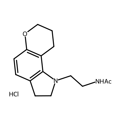 CC(=O)NCCN1CCc2ccc3c(c21)CCCO3.Cl